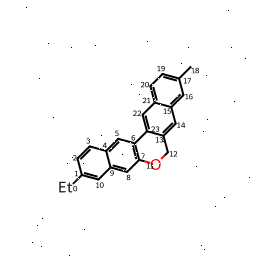 CCc1ccc2cc3c(cc2c1)OCc1cc2cc(C)ccc2cc1-3